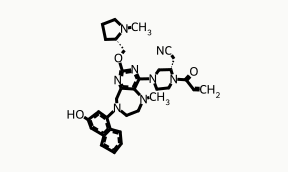 C=CC(=O)N1CCN(c2nc(OC[C@@H]3CCCN3C)nc3c2N(C)CCN(c2cc(O)cc4ccccc24)C3)C[C@@H]1CC#N